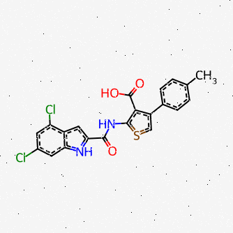 Cc1ccc(-c2csc(NC(=O)c3cc4c(Cl)cc(Cl)cc4[nH]3)c2C(=O)O)cc1